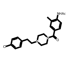 CC(=O)Nc1ccc(C(=O)N2CCN(CCc3ccc(Cl)cc3)CC2)cc1C